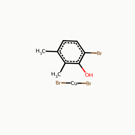 Cc1ccc(Br)c(O)c1C.[Br][Cu][Br]